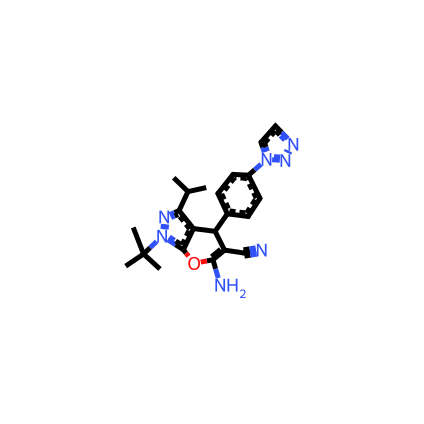 CC(C)c1nn(C(C)(C)C)c2c1C(c1ccc(-n3ccnn3)cc1)C(C#N)=C(N)O2